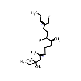 C=C(CC/C=C(\C)CC(C)(C)CC)C(Br)CC/C(=C/CC)CBr